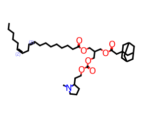 CCCCC/C=C\C/C=C\CCCCCCCC(=O)OCC(COC(=O)CC12CC3CC(CC(C3)C1)C2)COC(=O)OCCC1CCCN1C